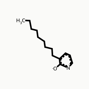 CCCCCCCCCc1cccnc1[O]